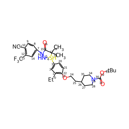 CCc1cc([SH]2NN(c3ccc(C#N)c(C(F)(F)F)c3)C(=O)C2(C)C)ccc1OCCC1CCN(C(=O)OC(C)(C)C)CC1